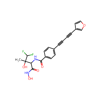 CC(O)(C(F)F)C(NC(=O)c1ccc(C#CC#Cc2ccoc2)cc1)C(=O)NO